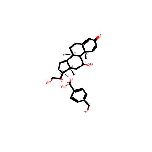 C[C@]12C=CC(=O)C=C1CC[C@@H]1C2[C@@H](O)C[C@@]2(C)C1CC[C@]2(O[C@@H](O)c1ccc(CBr)cc1)C(=O)CO